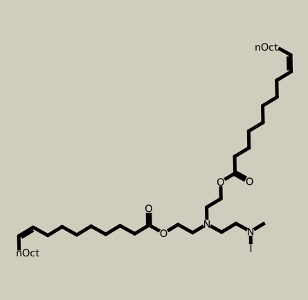 CCCCCCCC/C=C\CCCCCCCC(=O)OCCN(CCOC(=O)CCCCCCC/C=C\CCCCCCCC)CCN(C)I